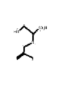 C=C(C)COC(CO)S(=O)(=O)O